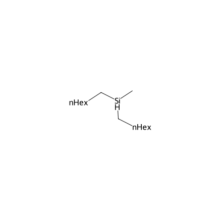 CCCCCCC[SiH](C)CCCCCCC